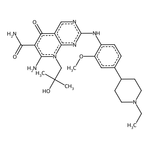 CCN1CCC(c2ccc(Nc3ncc4c(=O)c(C(N)=O)c(N)n(CC(C)(C)O)c4n3)c(OC)c2)CC1